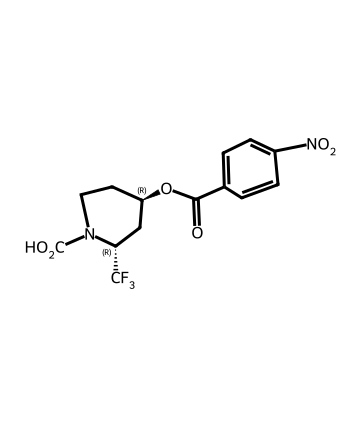 O=C(O[C@@H]1CCN(C(=O)O)[C@@H](C(F)(F)F)C1)c1ccc([N+](=O)[O-])cc1